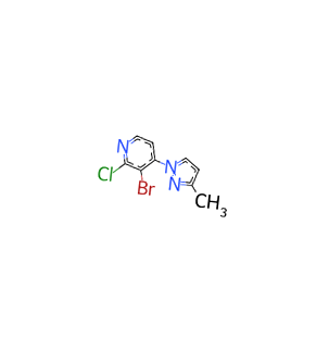 Cc1ccn(-c2ccnc(Cl)c2Br)n1